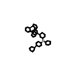 c1ccc(-c2ccc(N(c3ccccc3)c3cccc(-c4ccc5c(c4)-c4c6cccc4-c4cccc-5c4-c4ccccc4-6)c3)cc2)cc1